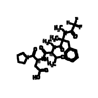 CC(C)[C@@H](C(=O)N[C@@H](CC(=O)O)C(=O)N1CCCC1)N(C)C(=O)C(C)(Cc1ccccc1)N(C)C(=O)C(F)(F)F